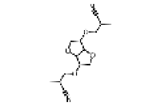 CC(C#N)COC1COC2C(OCC(C)C#N)COC12